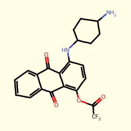 NC1CCC(Nc2ccc(OC(=O)C(F)(F)F)c3c2C(=O)c2ccccc2C3=O)CC1